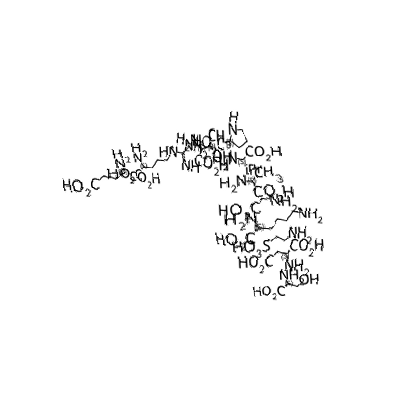 CC(C)[C@H](N)C(=O)O.C[C@@H](O)[C@H](N)C(=O)O.C[C@H](N)C(=O)O.N=C(N)NCCC[C@H](N)C(=O)O.NCC(=O)O.NCCCC[C@H](N)C(=O)O.NCCS(=O)(=O)O.N[C@@H](CC(=O)O)C(=O)O.N[C@@H](CCC(=O)O)C(=O)O.N[C@@H](CO)C(=O)O.O=C(O)[C@@H]1CCCN1